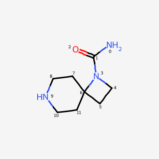 NC(=O)N1CCC12CCNCC2